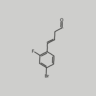 O=[C]C/C=C/c1ccc(Br)cc1F